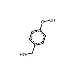 OCc1ccc(OO)cc1